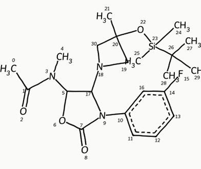 CC(=O)N(C)C1OC(=O)N(c2cccc(F)c2)C1N1CC(C)(O[Si](C)(C)C(C)(C)C)C1